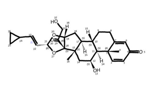 C[C@]12C=CC(=O)C=C1CC[C@@H]1[C@@H]2[C@@H](O)C[C@@]2(C)[C@H]1C[C@H]1O[C@@H](/C=C/C3CC3)O[C@]12C(=O)CO